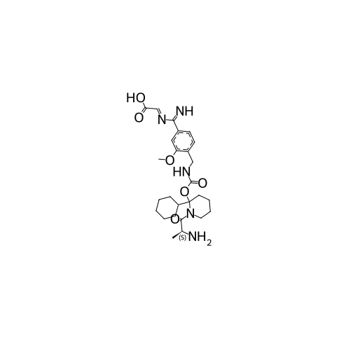 COc1cc(C(=N)N=CC(=O)O)ccc1CNC(=O)OC1(C2CCCCC2)CCCCN1C(=O)[C@H](C)N